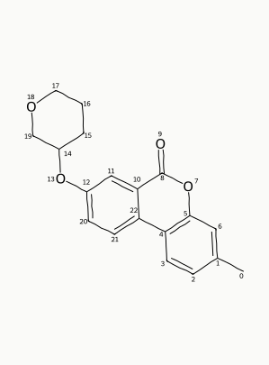 Cc1ccc2c(c1)oc(=O)c1cc(OC3CCCOC3)ccc12